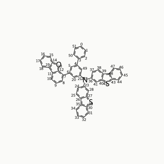 c1ccc(-c2cc(-c3cccc4c3oc3ccccc34)cc(N(c3ccc4c(c3)sc3ccccc34)c3ccc4c(c3)sc3ccccc34)c2)cc1